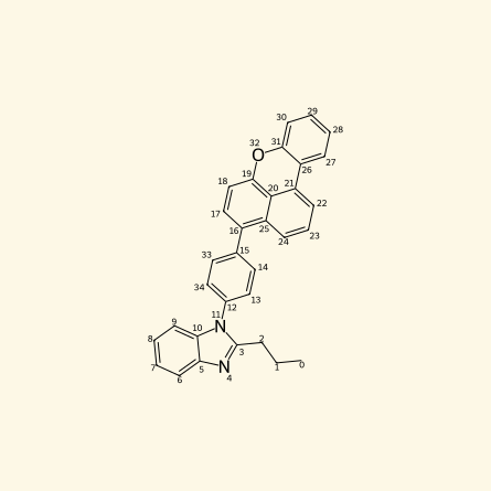 CCCc1nc2ccccc2n1-c1ccc(-c2ccc3c4c(cccc24)-c2ccccc2O3)cc1